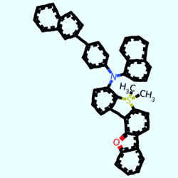 CS1(C)c2ccc3c(oc4ccccc43)c2-c2cccc(N(c3ccc(-c4ccc5ccccc5c4)cc3)c3cccc4ccccc34)c21